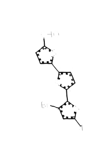 O=Cc1ccc(-c2ccc(-c3sc(I)cc3Br)s2)s1